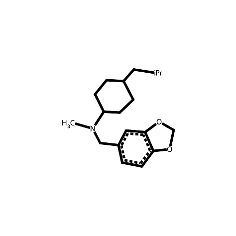 CC(C)CC1CCC(N(C)Cc2ccc3c(c2)OCO3)CC1